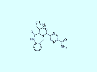 CCC(C)C1C(=O)Nc2ccccc2CN1C(=O)c1cnc(C(N)=O)cn1